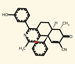 Cc1nc(-c2cccc(O)c2)c2c(n1)[C@@]1(c3ccccc3)C=C(C#N)C(=O)[C@@H](C)[C@@H]1CC2